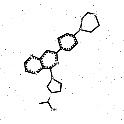 CC(O)[C@H]1CCN(c2nc(-c3ccc(N4CCOCC4)cc3)cc3nccnc23)C1